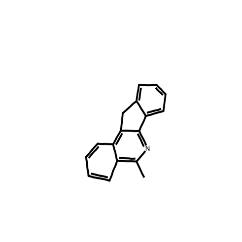 Cc1nc2c(c3ccccc13)Cc1ccccc1-2